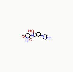 O=C1CCC(N2Cc3cc(N4CCNCC4)ccc3C2O)C(=O)N1